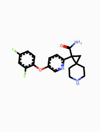 NC(=O)C1(c2ccc(Oc3ccc(F)cc3F)cn2)CC12CCNCC2